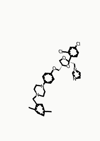 Cc1ccc(C)c(CN2CCN(c3ccc(OC[C@@H]4CO[C@@](Cn5ccnc5)(c5ccc(Cl)cc5Cl)O4)cc3)CC2)c1